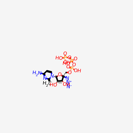 C=C1N=C(N)C=CN1[C@@H]1O[C@@](COP(=O)(O)OP(=O)(O)OP(=O)(O)O)(N=[N+]=[N-])[C@@H](O)[C@@H]1O